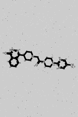 O=C(CN1CCC(c2n[nH]c(=O)c3ccccc23)CC1)N1CCN(c2ncc(C(F)(F)F)cn2)CC1